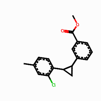 COC(=O)c1cccc(C2CC2c2ccc(C)cc2Cl)c1